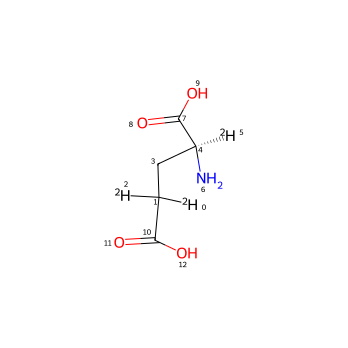 [2H]C([2H])(C[C@]([2H])(N)C(=O)O)C(=O)O